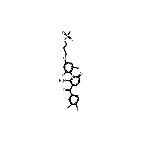 Cc1cc(C(=O)c2ccc(=O)n(-c3c(F)cc(OCCCOS(C)(=O)=O)cc3F)c2N)ccc1F